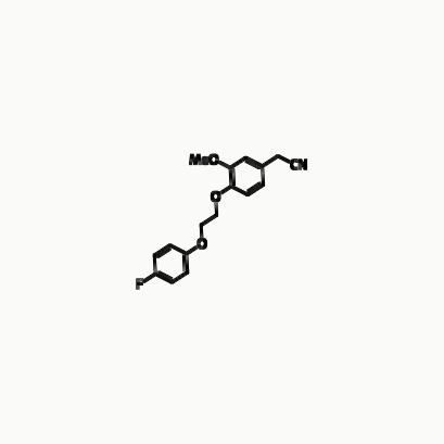 COc1cc(CC#N)ccc1OCCOc1ccc(F)cc1